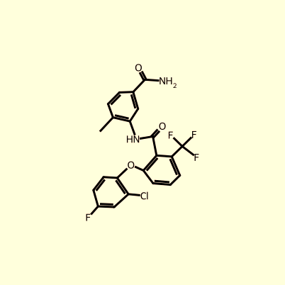 Cc1ccc(C(N)=O)cc1NC(=O)c1c(Oc2ccc(F)cc2Cl)cccc1C(F)(F)F